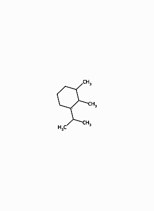 CC(C)[C]1CCCC(C)C1C